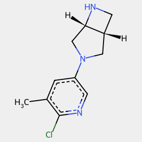 Cc1cc(N2C[C@H]3CN[C@H]3C2)cnc1Cl